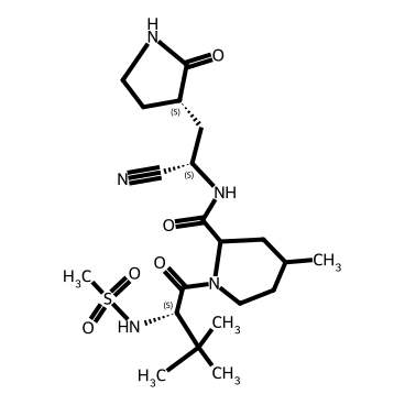 CC1CCN(C(=O)[C@@H](NS(C)(=O)=O)C(C)(C)C)C(C(=O)N[C@H](C#N)C[C@@H]2CCNC2=O)C1